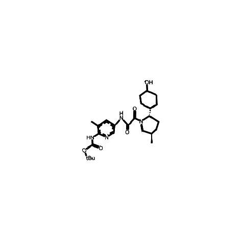 Cc1cc(NC(=O)C(=O)N2C[C@H](C)CC[C@H]2C2CCC(O)CC2)cnc1NC(=O)OC(C)(C)C